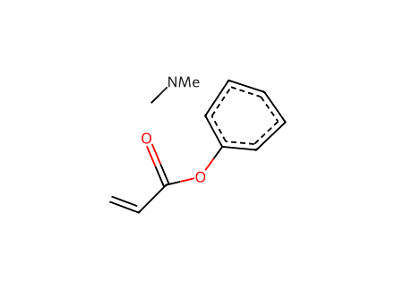 C=CC(=O)Oc1ccccc1.CNC